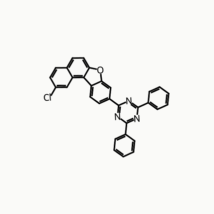 Clc1ccc2ccc3oc4cc(-c5nc(-c6ccccc6)nc(-c6ccccc6)n5)ccc4c3c2c1